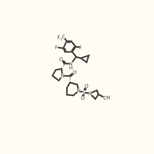 N#CC1CN(S(=O)(=O)N2CCC[C@H](C(=O)N3CCC[C@@H]3C(=O)NC(c3cc(F)c(C(F)(F)F)cc3F)C3CC3)C2)C1